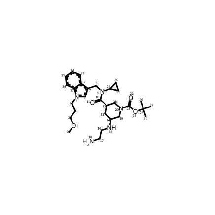 COCCCn1cc(CN(C(=O)[C@@H]2C[C@H](NCCN)CN(C(=O)OC(C)(C)C)C2)C2CC2)c2ccccc21